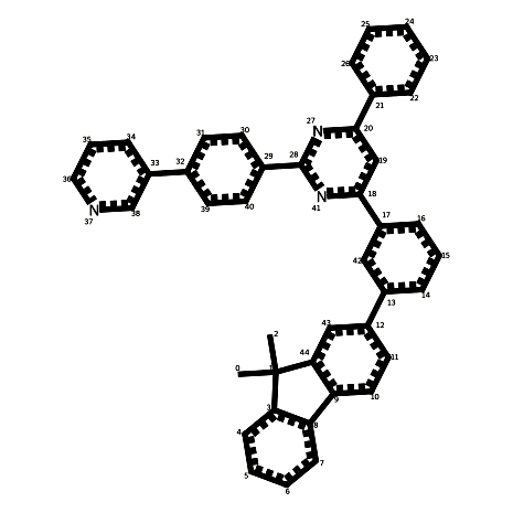 CC1(C)c2ccccc2-c2ccc(-c3cccc(-c4cc(-c5ccccc5)nc(-c5ccc(-c6cccnc6)cc5)n4)c3)cc21